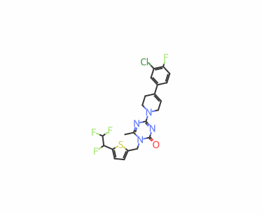 Cc1nc(N2CC=C(c3ccc(F)c(Cl)c3)CC2)nc(=O)n1Cc1ccc(C(F)C(F)F)s1